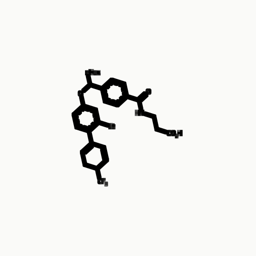 CCCCCCC(Oc1ccc(C2=CCC(C(F)(F)F)C=C2)c(CC)c1)c1ccc(C(=O)NCCC(=O)O)cc1